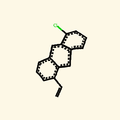 C=Cc1cccc2cc3c(Cl)cccc3cc12